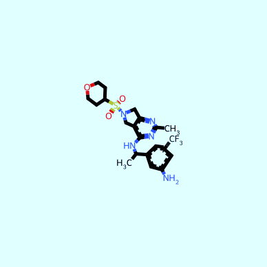 Cc1nc2c(c(NC(C)c3cc(N)cc(C(F)(F)F)c3)n1)CN(S(=O)(=O)C1CCOCC1)C2